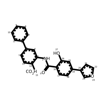 O=C(Nc1cc(-c2ccccc2)ccc1C(=O)O)c1ccc(-c2ccoc2)cc1O